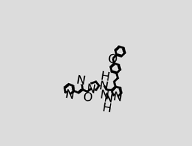 N#C/C(=C\c1ccccn1)C(=O)N1CC[C@@H](Nc2n[nH]c3nccc(CCc4ccc(Oc5ccccc5)cc4)c23)C1